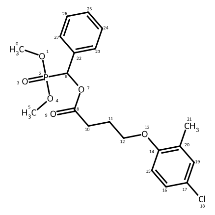 COP(=O)(OC)C(OC(=O)CCCOc1ccc(Cl)cc1C)c1ccccc1